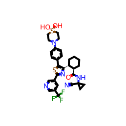 N#CC1(NC(=O)[C@@H]2CCCC[C@H]2c2nc(-c3cncc(C(F)(F)F)c3)sc2-c2ccc(N3CCS(O)(O)CC3)cc2)CC1